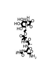 CC(C)C(=O)N[C@@H](CC(N)=O)C(=O)N[C@@H](C)C(=O)NC(C)(C)C(=O)OCC[C@@H]1[C@@H](O)[C@H](O)[C@H](O)[C@H]2NC(=O)C(=O)N12